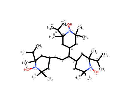 CC(C)C1(C)CC(CCC(C2CC(C)(C)N(O)C(C)(C(C)C)C2)C2CC(C)(C)N(O)C(C)(C(C)C)C2)CC(C)(C)N1O